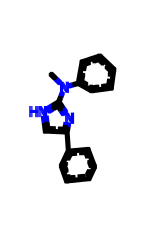 CN(c1ccccc1)c1nc(-c2ccccc2)c[nH]1